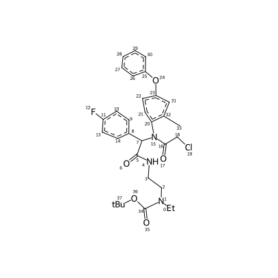 CCN(CCNC(=O)C(c1ccc(F)cc1)N(C(=O)CCl)c1ccc(Oc2ccccc2)cc1C)C(=O)OC(C)(C)C